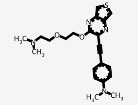 CN(C)CCOCCOc1nc2cscc2nc1C#Cc1ccc(N(C)C)cc1